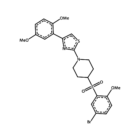 COc1ccc(OC)c(-c2csc(N3CCC(S(=O)(=O)c4cc(Br)ccc4OC)CC3)n2)c1